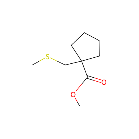 COC(=O)C1(CSC)CCCC1